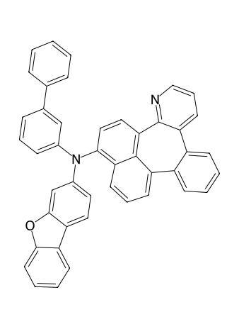 c1ccc(-c2cccc(N(c3ccc4c(c3)oc3ccccc34)c3ccc4c5c(cccc35)-c3ccccc3-c3cccnc3-4)c2)cc1